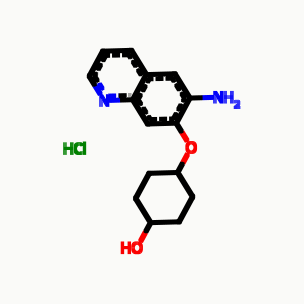 Cl.Nc1cc2cccnc2cc1OC1CCC(O)CC1